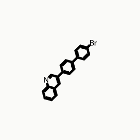 Brc1ccc(-c2ccc(-c3cnc4ccccc4c3)cc2)cc1